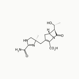 C[C@@H](O)[C@H]1C(=O)N2C(C(=O)O)=C(C[C@]3(C)CNC(C(N)=O)=N3)C[C@H]12